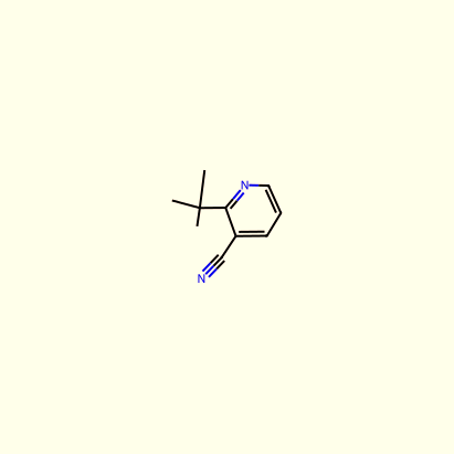 CC(C)(C)c1ncccc1C#N